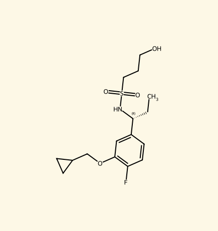 CC[C@@H](NS(=O)(=O)CCCO)c1ccc(F)c(OCC2CC2)c1